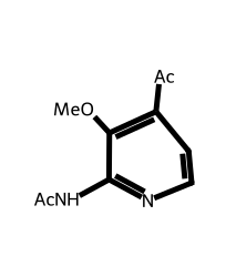 [CH2]C(=O)c1ccnc(NC(C)=O)c1OC